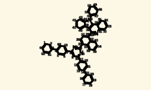 c1ccc(-c2ccc(-c3cc(-c4ccc(-c5ccccc5)cc4)nc(-c4ccc(-c5nc6ccccc6c6c5c5ccccc5n6-c5ccccc5)c5ccccc45)n3)cc2)cc1